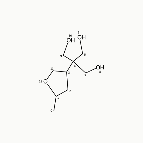 CC1CC(C(CO)(CO)CO)CO1